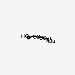 CC(C)(C)OC(=O)CCOCCOCCOCCOCC#Cc1cccc(O)c1